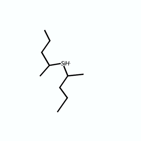 CCCC(C)[SiH]C(C)CCC